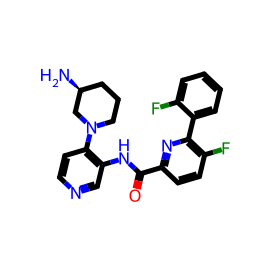 N[C@H]1CCCN(c2ccncc2NC(=O)c2ccc(F)c(-c3ccccc3F)n2)C1